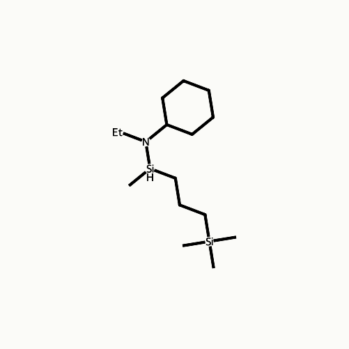 CCN(C1CCCCC1)[SiH](C)CCC[Si](C)(C)C